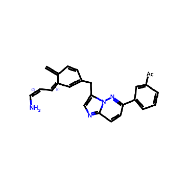 C=c1ccc(Cc2cnc3ccc(-c4cccc(C(C)=O)c4)nn23)c/c1=C/C=C\N